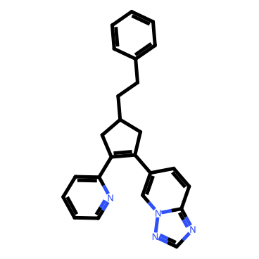 c1ccc(CCC2CC(c3ccc4ncnn4c3)=C(c3ccccn3)C2)cc1